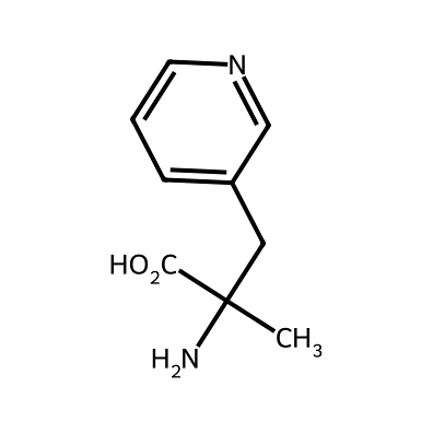 CC(N)(Cc1cccnc1)C(=O)O